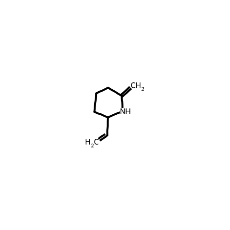 C=CC1CCCC(=C)N1